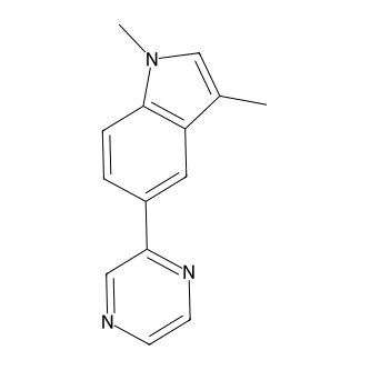 Cc1cn(C)c2ccc(-c3cnccn3)cc12